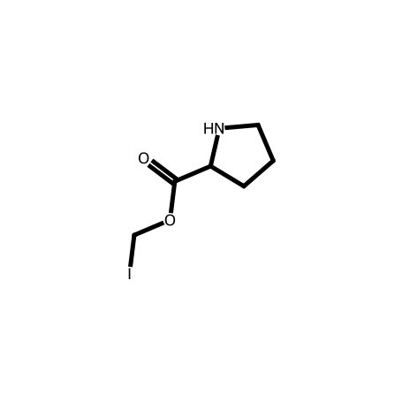 O=C(OCI)C1CCCN1